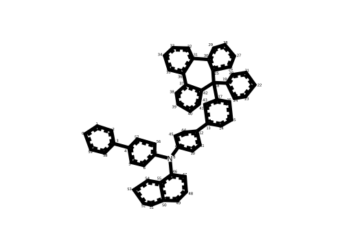 c1ccc(-c2ccc(N(c3ccc(-c4cccc(C5(c6ccccc6)c6ccccc6-c6ccccc6-c6ccccc65)c4)cc3)c3cccc4ccccc34)cc2)cc1